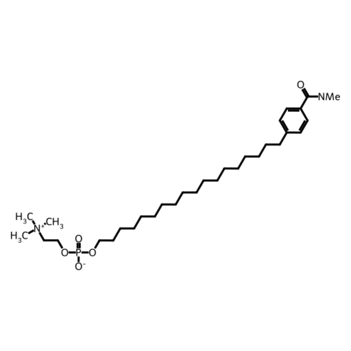 CNC(=O)c1ccc(CCCCCCCCCCCCCCCCCCOP(=O)([O-])OCC[N+](C)(C)C)cc1